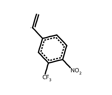 C=[C]c1ccc([N+](=O)[O-])c(C(F)(F)F)c1